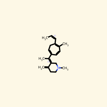 C=C1CCN(C)C/C1=C(/C)C1=CCC(/C=C\C)=C(C)C=C1